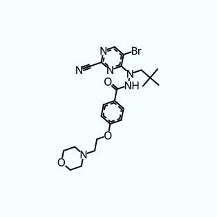 CC(C)(C)CN(NC(=O)c1ccc(OCCN2CCOCC2)cc1)c1nc(C#N)ncc1Br